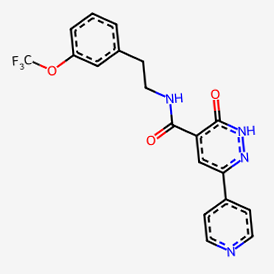 O=C(NCCc1cccc(OC(F)(F)F)c1)c1cc(-c2ccncc2)n[nH]c1=O